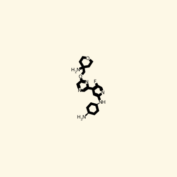 NC1(COc2cncc(-c3cc(N[C@H]4CC[C@H](N)CC4)ncc3F)n2)CCOCC1